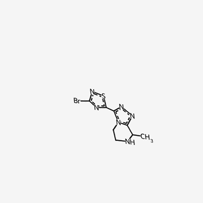 CC1NCCn2c(-c3nc(Br)ns3)nnc21